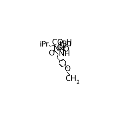 C=CCOc1ccc(CC(NC(=O)OC(C)(C)C)C(=O)NC(CC(C)C)C(=O)O)cc1